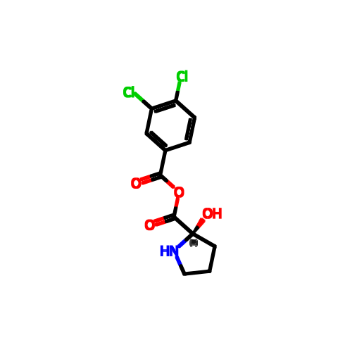 O=C(OC(=O)[C@]1(O)CCCN1)c1ccc(Cl)c(Cl)c1